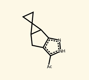 CC(=O)c1[nH]nc2c1CC1C2C12CC2